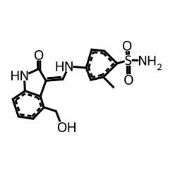 Cc1cc(NC=C2C(=O)Nc3cccc(CO)c32)ccc1S(N)(=O)=O